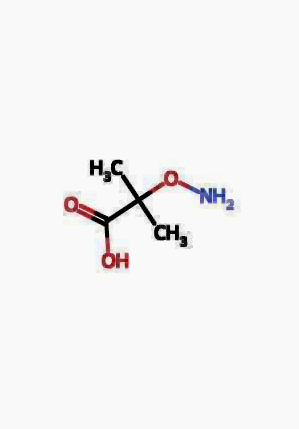 CC(C)(ON)C(=O)O